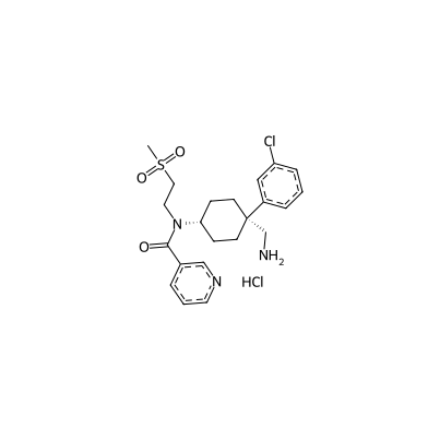 CS(=O)(=O)CCN(C(=O)c1cccnc1)[C@H]1CC[C@](CN)(c2cccc(Cl)c2)CC1.Cl